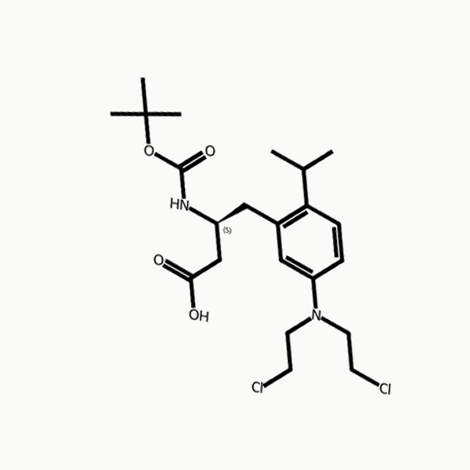 CC(C)c1ccc(N(CCCl)CCCl)cc1C[C@@H](CC(=O)O)NC(=O)OC(C)(C)C